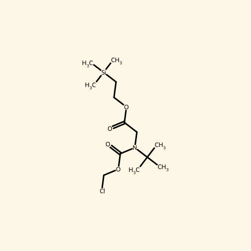 CC(C)(C)N(CC(=O)OCC[Si](C)(C)C)C(=O)OCCl